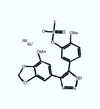 COc1ccc(-c2[nH]nnc2-c2cc(OC)c3c(c2)OCO3)cc1OP(=O)([O-])[S-].[Na+].[Na+]